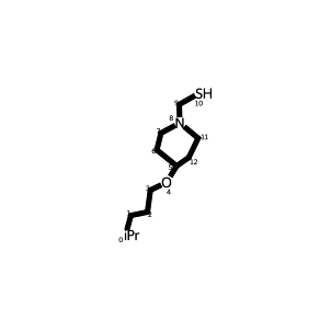 CC(C)CCCOC1CCN(CS)CC1